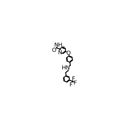 NC(=O)c1ccc(Oc2ccc(CNCCc3cccc(C(F)(F)F)c3)cc2)cn1